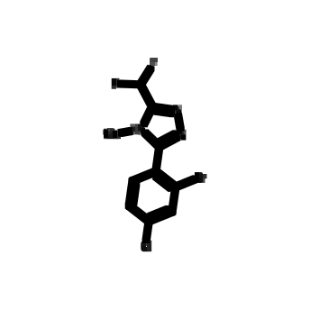 CC(C)(C)[SH]1C(c2ccc(Cl)cc2Br)=NN=C1C(F)F